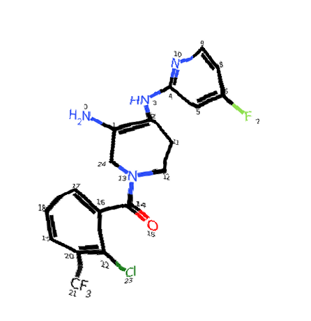 NC1=C(Nc2cc(F)ccn2)CCN(C(=O)c2cccc(C(F)(F)F)c2Cl)C1